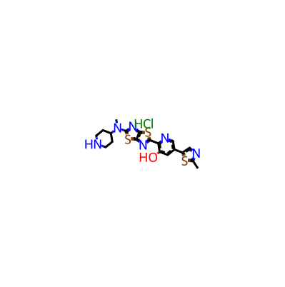 Cc1ncc(-c2cnc(-c3nc4sc(N(C)C5CCNCC5)nc4s3)c(O)c2)s1.Cl